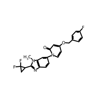 Cn1c(C2CC2(F)F)nc2ccc(-n3ccc(OCc4ccc(F)cc4)cc3=O)cc21